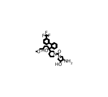 COCCCC[C@@](O)(c1ccccc1-c1cccc(C(F)(F)F)c1)C1CCCN(C(=O)N2C[C@@H](N)[C@@H](O)C2)C1